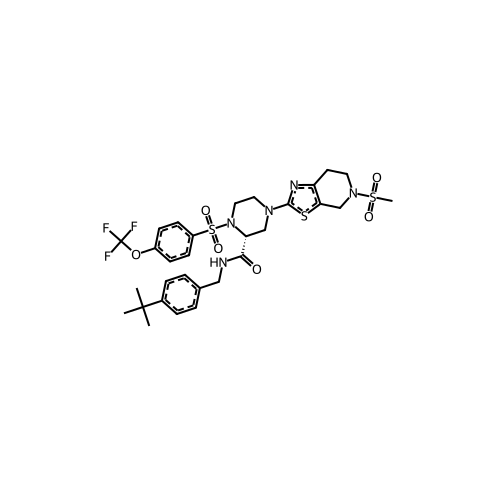 CC(C)(C)c1ccc(CNC(=O)[C@H]2CN(c3nc4c(s3)CN(S(C)(=O)=O)CC4)CCN2S(=O)(=O)c2ccc(OC(F)(F)F)cc2)cc1